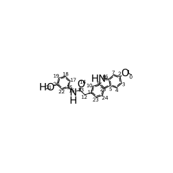 COc1ccc2c(c1)[nH]c1cc(CC(=O)Nc3cccc(O)c3)ccc12